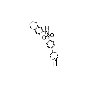 O=S(=O)(Nc1ccc2c(c1)CCCC2)c1ccc(C2CCNCC2)cc1